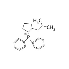 CC(C)CC1CCC[C@H]1P(c1ccccc1)c1ccccc1